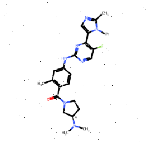 Cc1cc(Nc2ncc(F)c(-c3cnc(C)n3C(C)C)n2)ccc1C(=O)N1CC[C@@H](N(C)C)C1